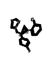 Fc1ccc([C@]2(Cn3cncn3)C[C@@H]2c2ccccc2Cl)cc1